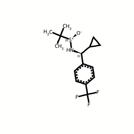 CC(C)(C)[S@@+]([O-])N[C@H](c1ccc(C(F)(F)F)cc1)C1CC1